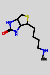 CCCCNCCCCC1SCC2NC(=O)NC21